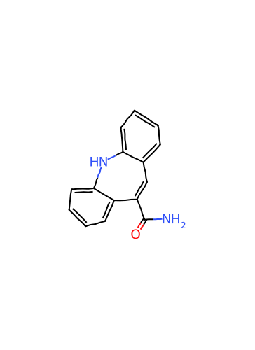 NC(=O)C1=Cc2ccccc2Nc2ccccc21